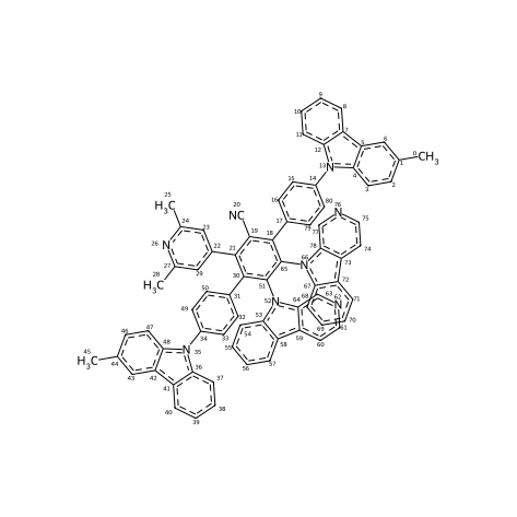 Cc1ccc2c(c1)c1ccccc1n2-c1ccc(-c2c(C#N)c(-c3cc(C)nc(C)c3)c(-c3ccc(-n4c5ccccc5c5cc(C)ccc54)cc3)c(-n3c4ccccc4c4ccncc43)c2-n2c3ccccc3c3ccncc32)cc1